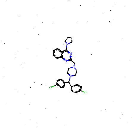 Clc1ccc(C(c2ccc(Cl)cc2)N2CCN(Cc3nc(N4CCCC4)c4ccccc4n3)CC2)cc1